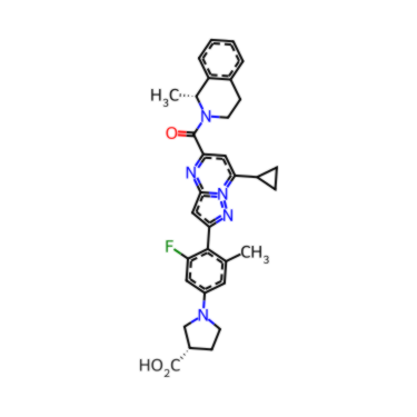 Cc1cc(N2CC[C@H](C(=O)O)C2)cc(F)c1-c1cc2nc(C(=O)N3CCc4ccccc4[C@H]3C)cc(C3CC3)n2n1